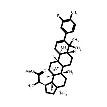 COC(=O)C(C)[C@@H]1CC[C@]2(N)CC[C@]3(C)[C@H](CC[C@@H]4[C@@]5(C)CC=C(c6ccc(C)c(F)c6)C(C)(C)[C@@H]5CC[C@]43C)[C@@H]12